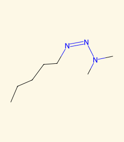 CCCCC/N=N\N(C)C